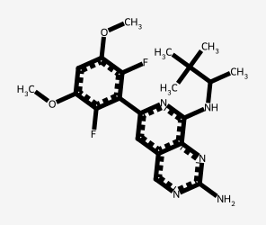 COc1cc(OC)c(F)c(-c2cc3cnc(N)nc3c(NC(C)C(C)(C)C)n2)c1F